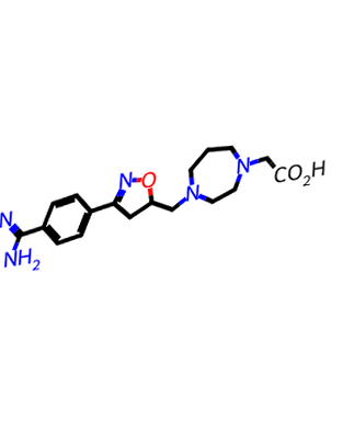 N=C(N)c1ccc(C2=NOC(CN3CCCN(CC(=O)O)CC3)C2)cc1